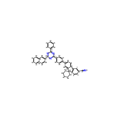 N#Cc1ccc2c(c1)-c1ccc(-c3ccc(-c4nc(-c5ccccc5)nc(-c5ccc6ccccc6c5)n4)cc3)cc1C21CCCCC1